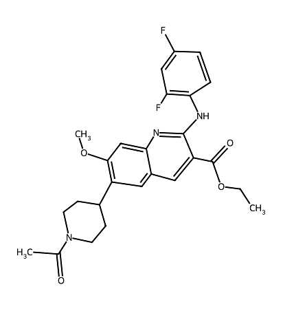 CCOC(=O)c1cc2cc(C3CCN(C(C)=O)CC3)c(OC)cc2nc1Nc1ccc(F)cc1F